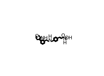 O=C(/C=C/c1ccc(CNCCc2cccc3c4c([nH]c23)COCC4)cc1)NO